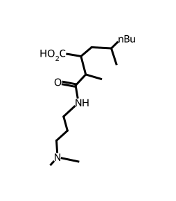 CCCCC(C)CC(C(=O)O)C(C)C(=O)NCCCN(C)C